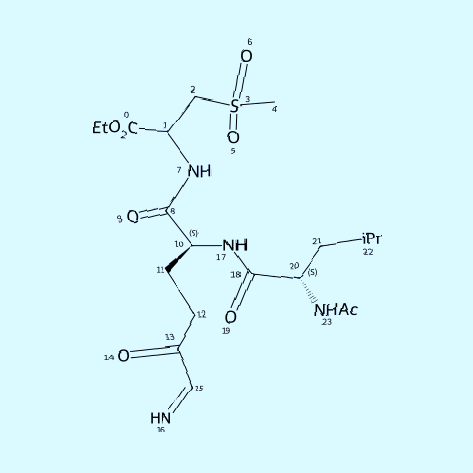 CCOC(=O)C(CS(C)(=O)=O)NC(=O)[C@H](CCC(=O)C=N)NC(=O)[C@H](CC(C)C)NC(C)=O